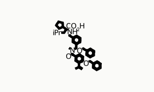 C=C(C)c1cc(C(=O)N(C)Cc2cccc(CN[C@@](CC(C)C)(C(=O)O)C3CCCC3)c2)c(OCc2ccccc2)cc1OCc1ccccc1